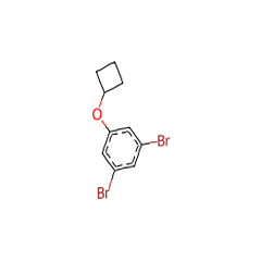 Brc1cc(Br)cc(OC2CCC2)c1